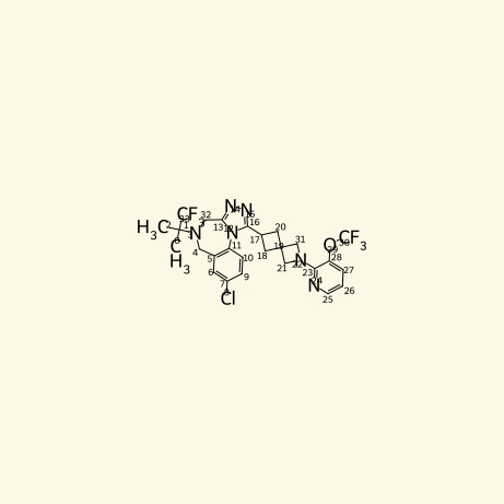 CC(C)(N1Cc2cc(Cl)ccc2-n2c(nnc2C2CC3(C2)CN(c2ncccc2OC(F)(F)F)C3)C1)C(F)(F)F